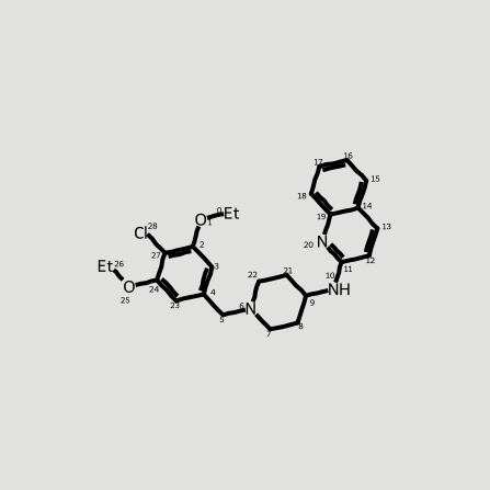 CCOc1cc(CN2CCC(Nc3ccc4ccccc4n3)CC2)cc(OCC)c1Cl